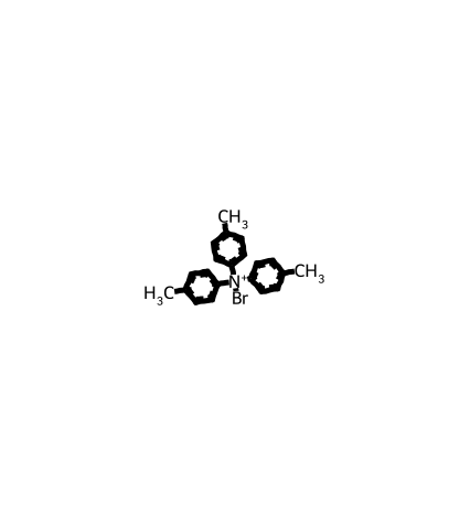 Cc1ccc([N+](Br)(c2ccc(C)cc2)c2ccc(C)cc2)cc1